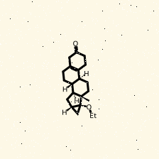 CCO[C@@]12C[C@@H]1C[C@H]1[C@@H]3CCC4=C(CCC(=O)C4)[C@H]3CC[C@@]12C